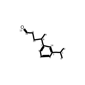 CC(C)c1cccc(C(C)CCC=O)c1